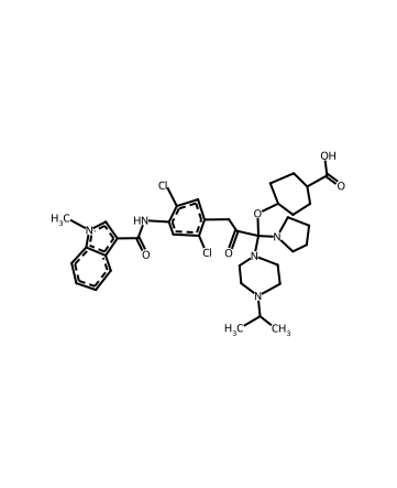 CC(C)N1CCN(C(OC2CCC(C(=O)O)CC2)(C(=O)Cc2cc(Cl)c(NC(=O)c3cn(C)c4ccccc34)cc2Cl)N2CCCC2)CC1